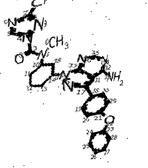 CN(C(=O)n1cnc(Cl)n1)C1CCCC(n2nc(-c3ccc(Oc4ccccc4)cc3)c3c(N)ncnc32)C1